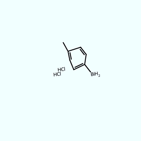 Cc1cc[c]([BiH2])cc1.Cl.Cl